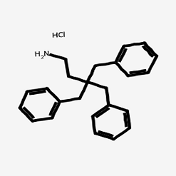 Cl.NCCC(Cc1ccccc1)(Cc1ccccc1)Cc1ccccc1